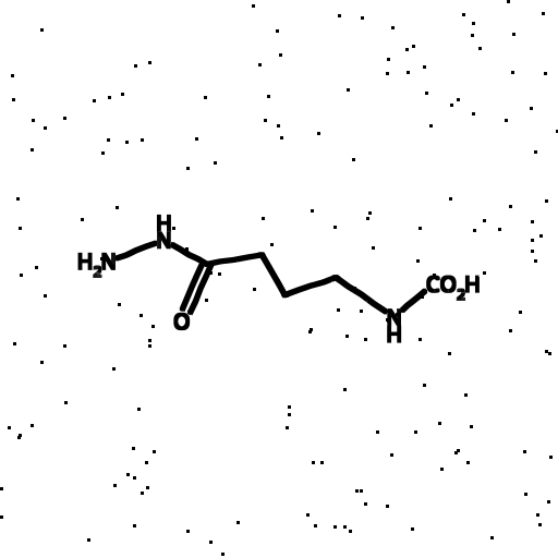 NNC(=O)CCCNC(=O)O